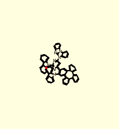 c1ccc2c(c1)-c1ccccc1-c1cc(-c3cc(-n4c5ccccc5n5c6ccccc6nc45)nc(-n4c5ccccc5c5ccccc54)n3)c(-n3c4ccccc4c4ccccc43)cc1-c1ccccc1-2